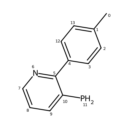 Cc1ccc(-c2ncccc2P)cc1